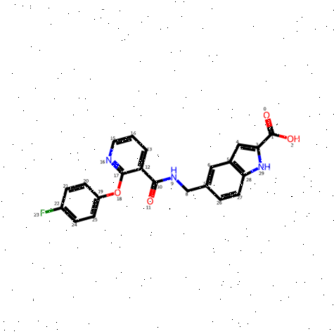 O=C(O)c1cc2cc(CNC(=O)c3cccnc3Oc3ccc(F)cc3)ccc2[nH]1